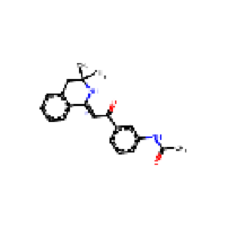 CC(=O)Nc1cccc(C(=O)/C=C2\NC(C)(C)Cc3ccccc32)c1